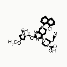 CO[C@@H]1C[C@H](COc2nc3c(c(N4CCN(C(=O)O)[C@@H](CC#N)C4)n2)CCN(c2cccc4cccc(Cl)c24)C3)N(C)C1